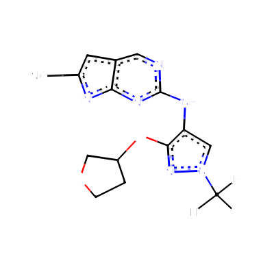 [2H]C([2H])([2H])n1cc(Nc2ncc3cc(C#N)[nH]c3n2)c(OC2CCOC2)n1